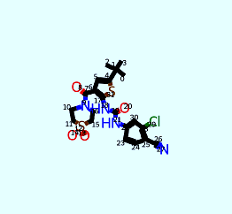 CC(C)(C)c1cc(C(=O)N2CCS(=O)(=O)CC2)c(NC(=O)Nc2ccc(C#N)c(Cl)c2)s1